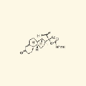 C=C1C[C@H]2[C@@H]3CCC4=CC(=O)CC[C@@H]4[C@H]3CC[C@]2(C)[C@]1(OC(=O)CCCCC)C(C)=O